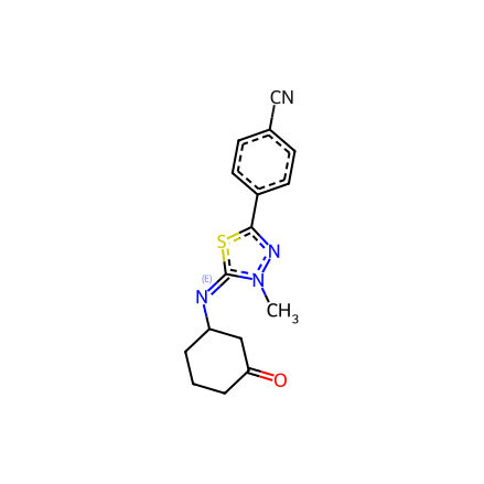 Cn1nc(-c2ccc(C#N)cc2)s/c1=N/C1CCCC(=O)C1